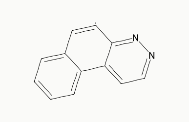 [c]1cc2ccccc2c2ccnnc12